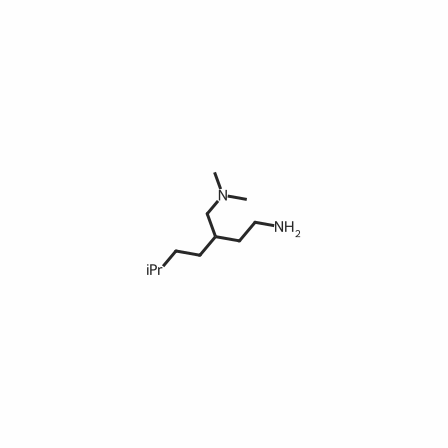 CC(C)CCC(CCN)CN(C)C